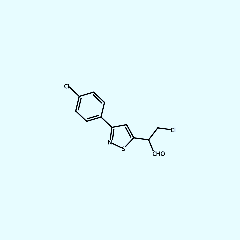 O=CC(CCl)c1cc(-c2ccc(Cl)cc2)ns1